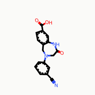 N#Cc1cccc(N2CC(=O)Nc3cc(C(=O)O)ccc3C2)c1